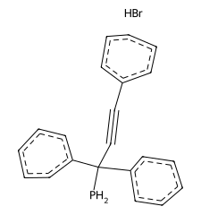 Br.PC(C#Cc1ccccc1)(c1ccccc1)c1ccccc1